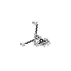 CCCCCCCCOc1nc(Oc2cc(C(C)(C)C)c(O)c(C(C)(C)C)c2)nc(SCCCCCCCC)n1